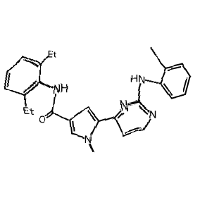 CCc1cccc(CC)c1NC(=O)c1cc(-c2ccnc(Nc3ccccc3C)n2)n(C)c1